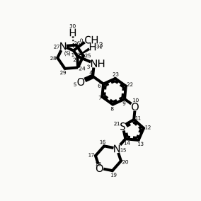 C[C@H]1[C@H](NC(=O)c2ccc(Oc3ccc(N4CCOCC4)s3)cc2)C2CCN1CC2